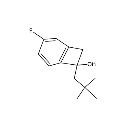 CC(C)(C)CC1(O)Cc2cc(F)ccc21